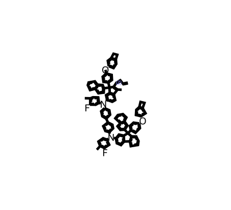 C=C/C=C\C1=C(C)c2ccc(N(c3ccc(-c4ccc(N(c5ccc(C)c(F)c5)c5ccc6c(c5)C(c5ccc(Oc7ccc8c(c7)CC8)cc5)(c5ccc7ccccc7c5)c5ccccc5-6)cc4)cc3)c3ccc(C)c(F)c3)cc2C1(c1ccc(Oc2ccc3c(c2)CC3)cc1)c1ccc2ccccc2c1